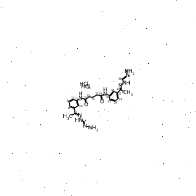 CC(=NNC=NN)c1cccc(NC(=O)CCCC(=O)Nc2cccc(C(C)=NNC=NN)c2)c1.Cl.Cl